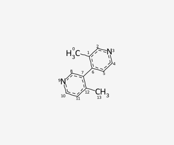 Cc1cnccc1-c1cnccc1C